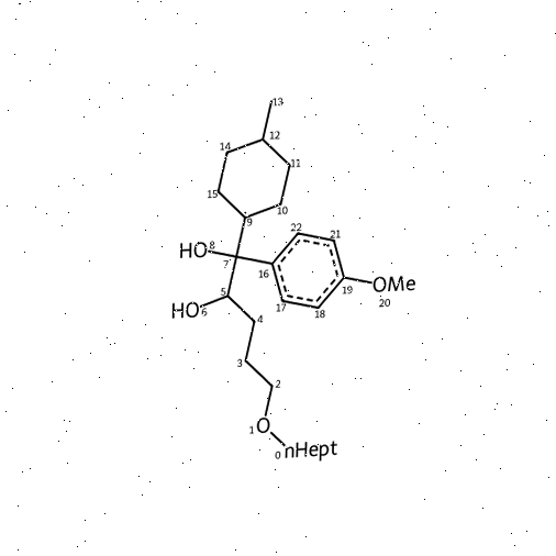 CCCCCCCOCCCC(O)C(O)([C]1CCC(C)CC1)c1ccc(OC)cc1